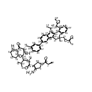 C=CC(=O)N1C[C@@H](N)[C@H](C(=O)N(C)C(C(=O)N[C@@H](Cc2cccc(-c3ccc4c(c3)c(CC(C)(C)COC(C)=O)c(-c3cccnc3[C@H](C)OC)n4CC)c2)C(=O)N2CCCCN2)C(C)C)C1